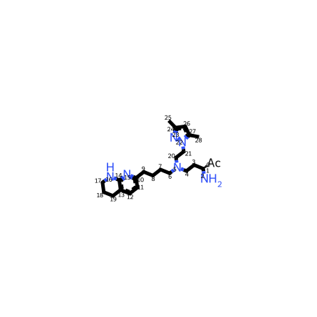 CC(=O)[C@@H](N)CCN(CCCCc1ccc2c(n1)NCCC2)CCn1nc(C)cc1C